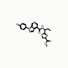 CCC(NC(=O)c1cncc2c1cnn2-c1ccc(F)cc1)C1=NC(C(=O)OC)CS1